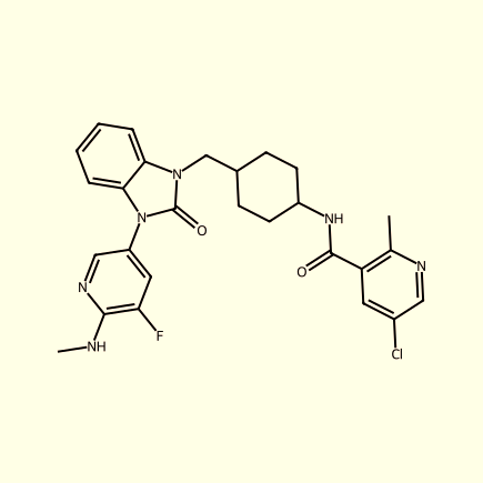 CNc1ncc(-n2c(=O)n(CC3CCC(NC(=O)c4cc(Cl)cnc4C)CC3)c3ccccc32)cc1F